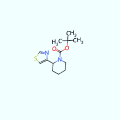 CC(C)(C)OC(=O)N1CCCCC1c1cscn1